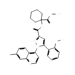 COC(=O)C1(NC(=O)c2cc(-c3ccccc3OC)n(-c3ccnc4cc(Cl)ccc34)n2)CCCCC1